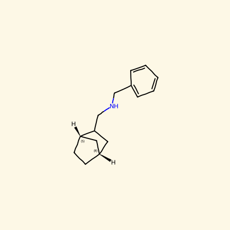 c1ccc(CNCC2C[C@@H]3CC[C@H]2C3)cc1